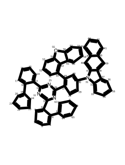 c1ccc(-c2ccccc2-c2nc(-c3ccccc3-c3ccccc3)nc(-c3ccc(-n4c5ccccc5c5cc6ccccc6cc54)cc3-c3cccc4oc5ccccc5c34)n2)cc1